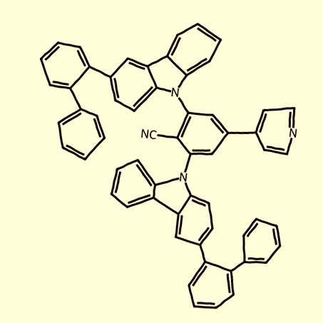 N#Cc1c(-n2c3ccccc3c3cc(-c4ccccc4-c4ccccc4)ccc32)cc(-c2ccncc2)cc1-n1c2ccccc2c2cc(-c3ccccc3-c3ccccc3)ccc21